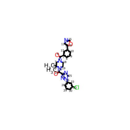 CC1(C)CN(C(=O)c2cccc(-c3cnco3)c2)CCN1C(=O)c1ncn(-c2cccc(Cl)c2)n1